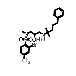 CN(CC(O)CNC(C)(C)CCCc1ccccc1)S(=O)(=O)c1ccc(C(F)(F)F)cc1Br